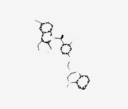 Cc1ccc2c(c1)c(CC(=O)O)c(C)n2C(=O)c1ccc(OC[C@@H]2CN(C)c3ccccc3O2)cc1F